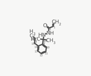 C=CC(=O)NNC(C)(C)c1ccccc1CCC